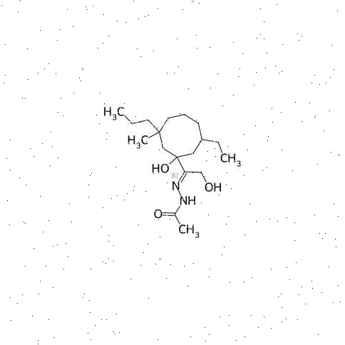 CCCC1(C)CCCC(CC)CC(O)(/C(CO)=N/NC(C)=O)C1